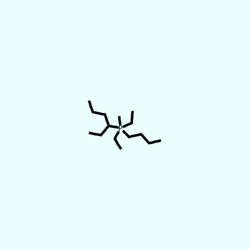 CCCCP(C)(CC)(CC)C(CC)CCC